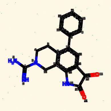 N=C(N)N1CCc2c(-c3ccccc3)cc3c(c2C1)NC(=O)C3=O